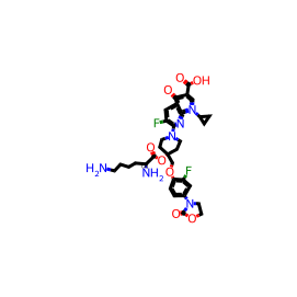 NCCCC[C@H](N)C(=O)OC1(COc2ccc(N3CCOC3=O)cc2F)CCN(c2nc3c(cc2F)c(=O)c(C(=O)O)cn3C2CC2)CC1